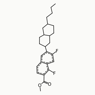 CCCCC1CCC2CC(c3cc4ccc(C(=O)OC)c(F)c4cc3F)CCC2C1